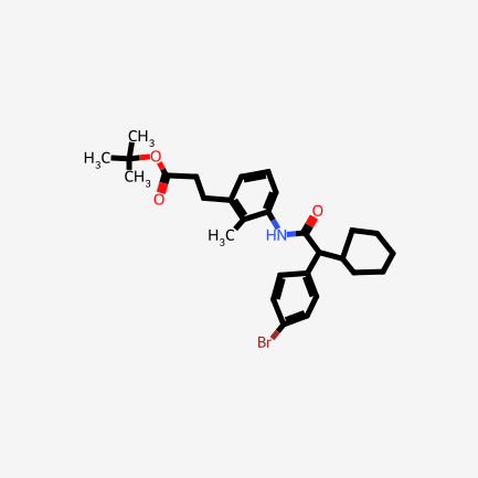 Cc1c(CCC(=O)OC(C)(C)C)cccc1NC(=O)C(c1ccc(Br)cc1)C1CCCCC1